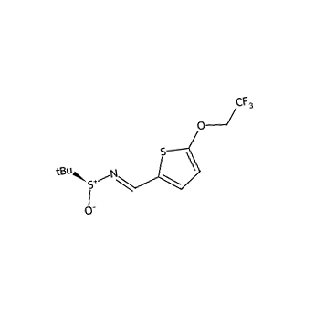 CC(C)(C)[S@+]([O-])N=Cc1ccc(OCC(F)(F)F)s1